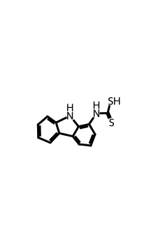 S=C(S)Nc1cccc2c1[nH]c1ccccc12